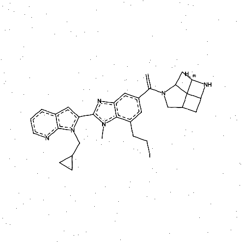 C=C(c1cc(CCI)c2c(c1)nc(-c1cc3cccnc3n1CC1CC1)n2C)N1CC2CC3N[C@@H]4CC1C234